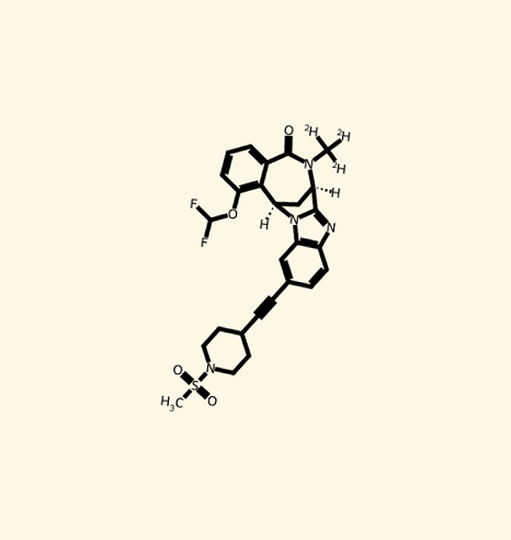 [2H]C([2H])([2H])N1C(=O)c2cccc(OC(F)F)c2[C@H]2C[C@@H]1c1nc3ccc(C#CC4CCN(S(C)(=O)=O)CC4)cc3n12